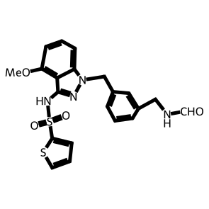 COc1cccc2c1c(NS(=O)(=O)c1cccs1)nn2Cc1cccc(CNC=O)c1